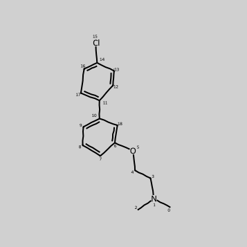 CN(C)CCOc1cccc(-c2c[c]c(Cl)cc2)c1